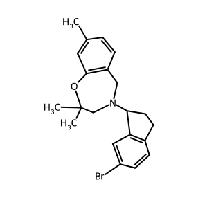 Cc1ccc2c(c1)OC(C)(C)CN(C1CCc3ccc(Br)cc31)C2